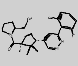 CC1(C)[C@@H](c2cnnc(-c3c(F)cccc3F)c2)CC[C@]1(C)C(=O)N1CCC[C@H]1CO